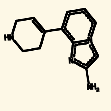 Nc1cn2cccc(C3=CCNCC3)c2n1